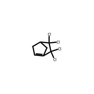 ClC1(Cl)C2=CCC(C2)C1(Cl)Cl